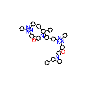 c1ccc(-c2ccc3c(c2)c2ccccc2n3-c2ccc3c(c2)oc2ccc(-c4nc(-c5ccccc5)nc(-c5ccc(-c6ccc7c(c6)c6c(-c8ccccc8)cc(-c8ccccc8)cc6n7-c6ccc7oc8ccc(-c9nc(-c%10ccccc%10)nc(-c%10ccccc%10)n9)cc8c7c6)cc5)n4)cc23)cc1